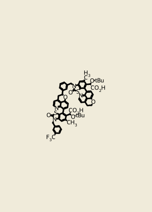 Cc1cc2c(sc(=O)n2Cc2cccc(C3Cc4ccnc5c(-c6c([C@H](OC(C)(C)C)C(=O)O)c(C)cc7c6sc(=O)n7Cc6cccc(C(F)(F)F)c6)ccc(c45)O3)c2)c(-c2ccc3c4c(ccnc24)CCO3)c1[C@H](OC(C)(C)C)C(=O)O